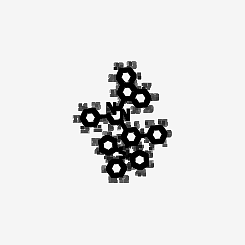 c1ccc(-c2cc(-c3cc(-c4ccccc4)nc(-c4cc5ccccc5c5ccccc45)n3)cc([Si](c3ccccc3)(c3ccccc3)c3ccccc3)c2)cc1